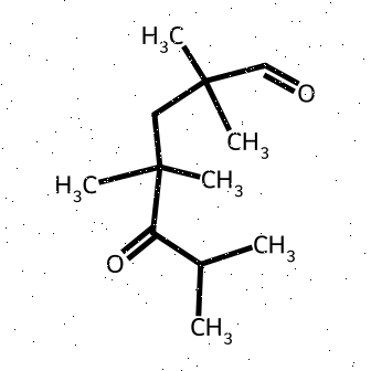 CC(C)C(=O)C(C)(C)CC(C)(C)C=O